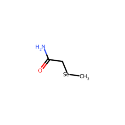 C[Se]CC(N)=O